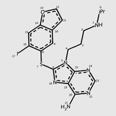 CC(C)NCCCn1c(Sc2cc3ccoc3cc2I)nc2c(N)ncnc21